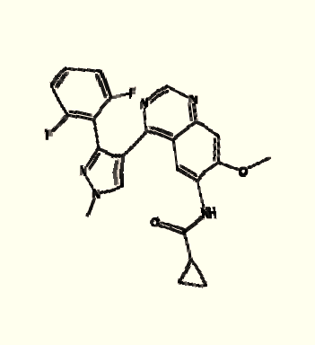 COc1cc2ncnc(-c3cn(C)nc3-c3c(F)cccc3F)c2cc1NC(=O)C1CC1